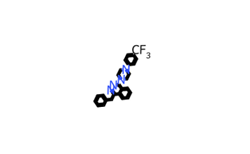 FC(F)(F)c1ccc(N2CCN(c3nnc(Cc4ccccc4)c4ccccc34)CC2)cc1